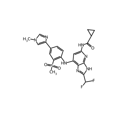 Cn1cnc(-c2ccc(Nc3cc(NC(=O)C4CC4)nc4[nH]c(C(F)F)nc34)c(S(C)(=O)=O)c2)c1